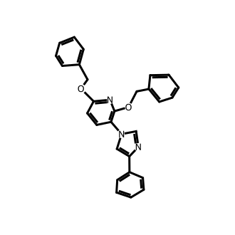 c1ccc(COc2ccc(-n3cnc(-c4ccccc4)c3)c(OCc3ccccc3)n2)cc1